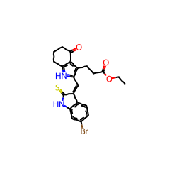 CCOC(=O)CCc1c(C=C2C(=S)Nc3cc(Br)ccc32)[nH]c2c1C(=O)CCC2